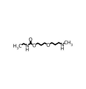 CCNC(=O)OCCCOCCCNC